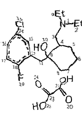 CCN(CC)CC1CCCCC1(O)Cc1cc(Cl)ccc1F.O=C(O)C(=O)O